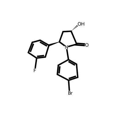 O=C1[C@@H](O)C[C@H](c2cccc(F)c2)N1c1ccc(Br)cc1